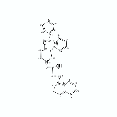 OC(COc1cccc2ncccc12)CN1CCC(OC(c2ccccc2)c2ccccn2)CC1